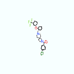 O=C(c1ccc(Cl)cc1)N1CCC2(CCN(Cc3ccccc3Oc3cccc(C(F)(F)F)c3)CC2)C1